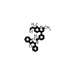 C=C(/N=C(/c1ccccc1)c1sc2ccccc2c1C)c1cccc(-c2cc(C)nc3c(C)c(/C=C\CC)ccc23)c1